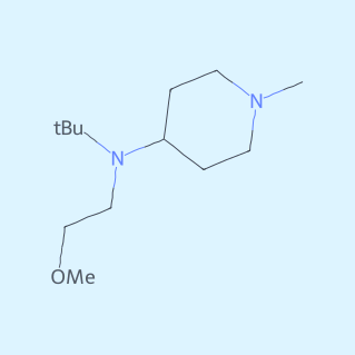 COCCN(C1CCN(C)CC1)C(C)(C)C